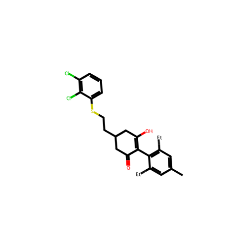 CCc1cc(C)cc(CC)c1C1=C(O)CC(CCSc2cccc(Cl)c2Cl)CC1=O